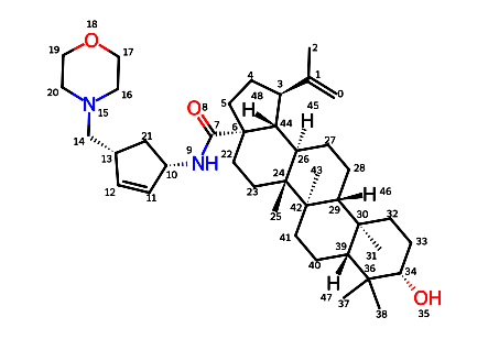 C=C(C)[C@@H]1CC[C@]2(C(=O)N[C@@H]3C=C[C@H](CN4CCOCC4)C3)CC[C@]3(C)[C@H](CC[C@@H]4[C@@]5(C)CC[C@H](O)C(C)(C)[C@@H]5CC[C@]43C)[C@@H]12